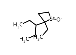 CCC(CC)C1(CC)CC[S+]1[O-]